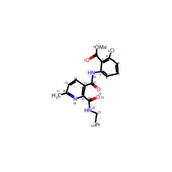 COC(=O)c1c(Cl)cccc1NC(=O)c1ccc(C)nc1C(=O)NCC(C)C